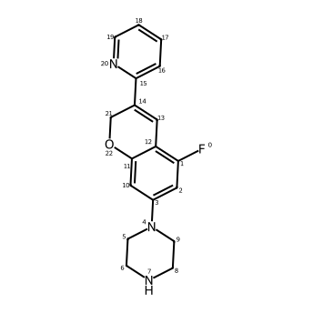 Fc1cc(N2CCNCC2)cc2c1C=C(c1ccccn1)CO2